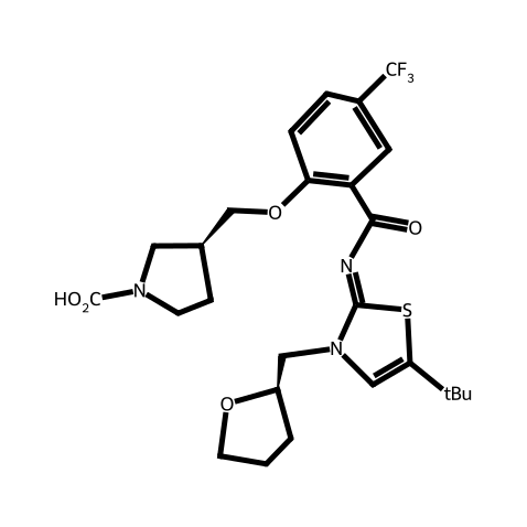 CC(C)(C)c1cn(C[C@H]2CCCO2)/c(=N/C(=O)c2cc(C(F)(F)F)ccc2OC[C@H]2CCN(C(=O)O)C2)s1